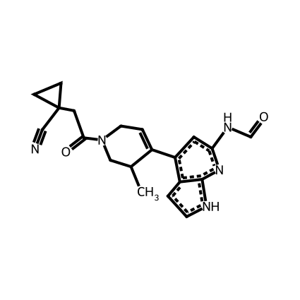 CC1CN(C(=O)CC2(C#N)CC2)CC=C1c1cc(NC=O)nc2[nH]ccc12